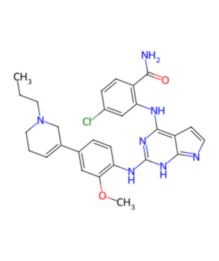 CCCN1CCC=C(c2ccc(Nc3nc(Nc4cc(Cl)ccc4C(N)=O)c4ccnc-4[nH]3)c(OC)c2)C1